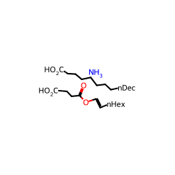 CCCCCCC=COC(=O)CCC(=O)O.CCCCCCCCCCCCCCCCCC(=O)O.N